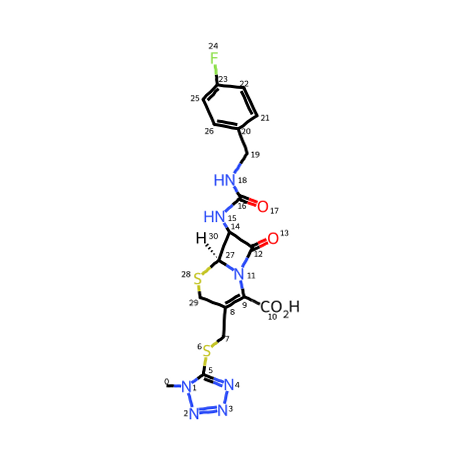 Cn1nnnc1SCC1=C(C(=O)O)N2C(=O)C(NC(=O)NCc3ccc(F)cc3)[C@@H]2SC1